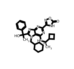 C[C@@H](Nc1nc(-c2noc(=O)[nH]2)nc2nc(C(C)(O)c3ccccc3)n(CC3CCCCC3)c12)C1CCC1